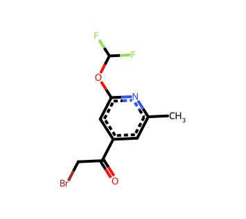 Cc1cc(C(=O)CBr)cc(OC(F)F)n1